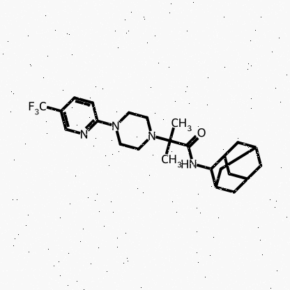 CC(C)(C(=O)NC1C2CC3CC(C2)CC1C3)N1CCN(c2ccc(C(F)(F)F)cn2)CC1